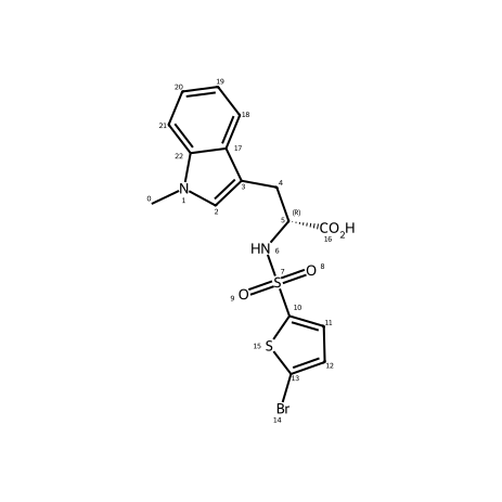 Cn1cc(C[C@@H](NS(=O)(=O)c2ccc(Br)s2)C(=O)O)c2ccccc21